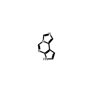 c1cc2c(ncn3cncc23)[nH]1